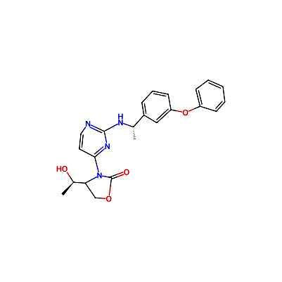 C[C@H](Nc1nccc(N2C(=O)OCC2[C@@H](C)O)n1)c1cccc(Oc2ccccc2)c1